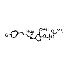 CNC(=C\C(=O)Nc1ccc(OCC(C)(C)OC(=O)CN)c(OC)c1)/C=C/c1ccc(Cl)cc1